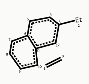 C=C.CCc1ccc2ccccc2c1